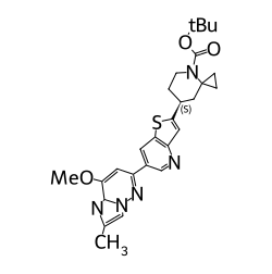 COc1cc(-c2cnc3cc([C@H]4CCN(C(=O)OC(C)(C)C)C5(CC5)C4)sc3c2)nn2cc(C)nc12